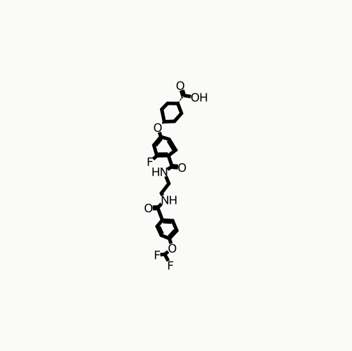 O=C(NCCNC(=O)c1ccc(O[C@H]2CC[C@@H](C(=O)O)CC2)cc1F)c1ccc(OC(F)F)cc1